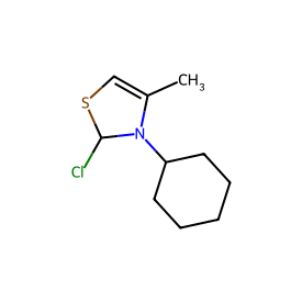 CC1=CSC(Cl)N1C1CCCCC1